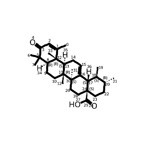 CC1=CC(=O)C(C)(C)[C@@H]2CC[C@]3(C)[C@H](CC=C4[C@@H]5[C@@H](C)[C@H](C)CC[C@]5(C(=O)O)CC[C@]43C)[C@@]12C